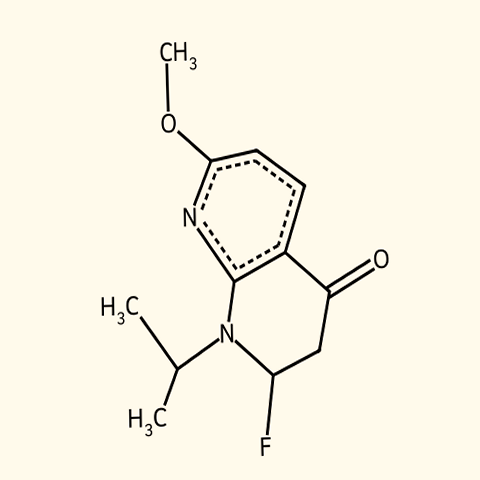 COc1ccc2c(n1)N(C(C)C)C(F)CC2=O